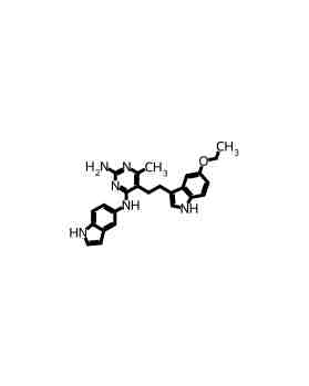 CCOc1ccc2[nH]cc(CCc3c(C)nc(N)nc3Nc3ccc4[nH]ccc4c3)c2c1